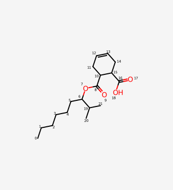 CCCCCCC(OC(=O)C1CC=CCC1C(=O)O)C(C)C